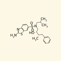 CC(C)CN(C[C@@H](O)[C@@H](C)Cc1ccccc1)S(=O)(=O)c1ccc2nc(N)sc2c1